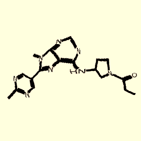 CCC(=O)N1CCC(Nc2ncnc3c2nc(-c2cnc(C)nc2)n3C)C1